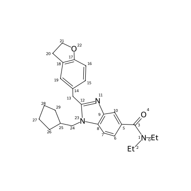 CCN(CC)C(=O)c1ccc2c(c1)nc(Cc1ccc3c(c1)CCO3)n2CC1CCCC1